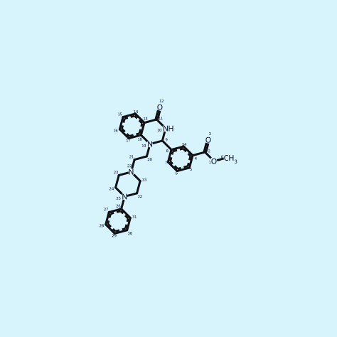 COC(=O)c1cccc(C2NC(=O)c3ccccc3N2CCN2CCN(c3ccccc3)CC2)c1